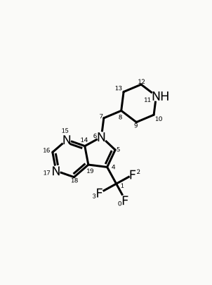 FC(F)(F)c1cn(CC2CCNCC2)c2ncncc12